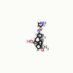 C[C@]12CC/C(=N\O[C@@H]3CCNC3)CC1C[C@@H](CO)[C@@H]1[C@@H]2CC[C@]2(C)C(=O)CC[C@@H]12